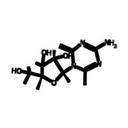 C=C1N=C(N)N=C(C)N1[C@]1(C)O[C@](C)(C(C)(C)O)C(C)(O)[C@]1(C)O